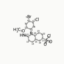 COc1cc(Br)c(Cl)cc1-n1c(=N)ccc2cc(S(=O)(=O)Cl)ccc21